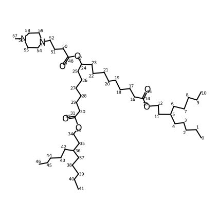 CCCCCC(CCCCC)CCOC(=O)CCCCCCCCC(CCCCCCC(=O)OCCC(CCCCC)CCCCC)OC(=O)CCCN1CCN(C)CC1